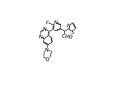 O=CC(c1cnc(F)c(-c2ncnc3cc(N4CCOCC4)ccc23)c1)c1nccs1